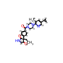 CCC1(c2ccc(C(=O)N3CCN(c4ncc(C5CC5)cc4C)CC3)cc2)C(=O)CNC1=O